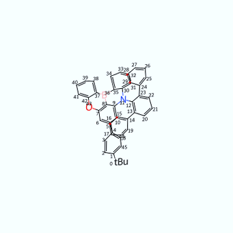 CC(C)(C)c1ccc(-c2cc3c4c(c2)N(c2c(-c5ccccc5)cccc2-c2ccccc2)c2ccccc2B4c2ccccc2O3)cc1